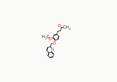 COc1cc(CCC(C)=O)ccc1OCc1ccc2ccccc2n1